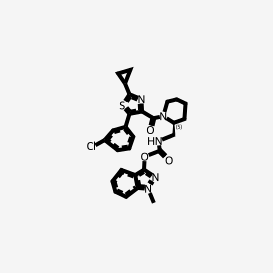 Cn1nc(OC(=O)NC[C@@H]2CCCCN2C(=O)c2nc(C3CC3)sc2-c2cccc(Cl)c2)c2ccccc21